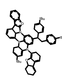 CC(C)(C)C1=CCC2B3C4=CC=CC5c6c(oc7ccccc67)N(c6cc(C(Cc7ccc(C(C)(C)C)cc7)C7C=CC(C(C)(C)C)=CC7)cc(c63)N(C3=C6OC7CCCC=C7C6=CCC3)C2=C1)C45